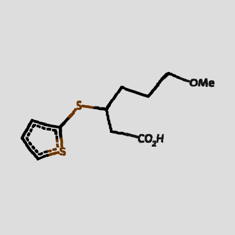 COCCCC(CC(=O)O)Sc1cccs1